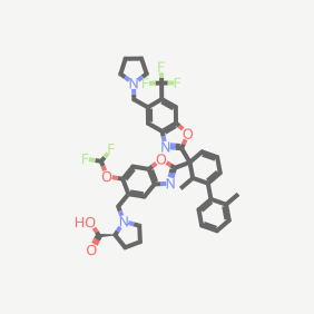 Cc1ccccc1C1=CC=CC(c2nc3cc(CN4CCC[C@H]4C(=O)O)c(OC(F)F)cc3o2)(c2nc3cc(CN4CCCC4)c(C(F)(F)F)cc3o2)C1C